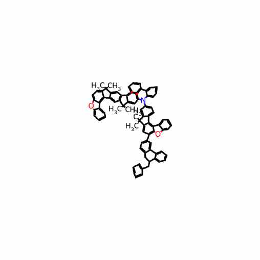 CC1(C)c2cc(N(c3ccc4c(c3)C(C)(C)c3cc(-c5ccc6c(c5)-c5ccccc5C(Cc5ccccc5)C6)c5oc6ccccc6c5c3-4)c3ccccc3-c3ccccc3)ccc2-c2cc3c(cc21)-c1c(ccc2oc4ccccc4c12)C3(C)C